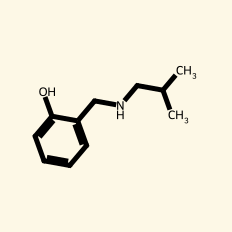 CC(C)CNCc1ccccc1O